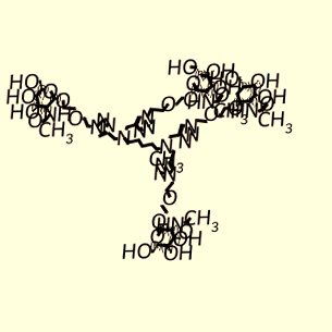 CC(=O)N[C@@H]1[C@@H](O)[C@@H](O)[C@@H](CO)C[C@H]1OCCOCCn1cc(CN(Cc2cn(CCOCCO[C@@H]3O[C@H](CO)[C@H](O)[C@H](O)[C@H]3NC(C)=O)nn2)C(C)CCCCN(Cc2cn(CCOCCO[C@@H]3O[C@H](CO)[C@H](O)[C@H](O)[C@H]3NC(C)=O)nn2)Cc2cn(CCOCCO[C@@H]3O[C@H](CO)[C@H](O)[C@H](O)[C@H]3NC(C)=O)nn2)nn1